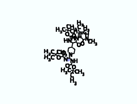 CC[C@H](C)[C@H](NC(=O)C(NC(=O)OC(C)(C)C)C1CCN(/C(=N\C(=O)OC(C)(C)C)NC(=O)OC(C)(C)C)CC1)C(=O)NC